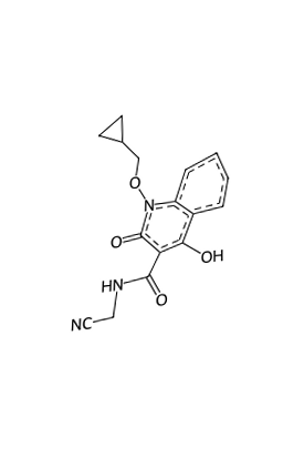 N#CCNC(=O)c1c(O)c2ccccc2n(OCC2CC2)c1=O